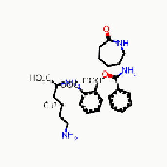 NC(=O)c1ccccc1.NCCCCC(N)C(=O)O.O=C([O-])c1ccccc1C(=O)[O-].O=C1CCCCCN1.[Cu+2]